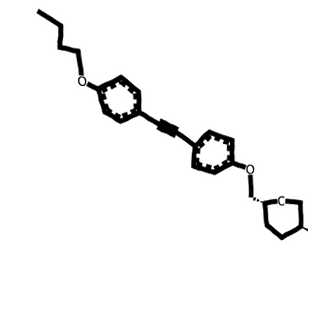 CCCCOc1ccc(C#Cc2ccc(OC[C@H]3CC[C@H](CC)CC3)cc2)cc1